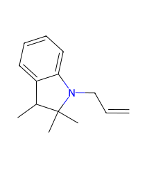 C=CCN1c2ccccc2C(C)C1(C)C